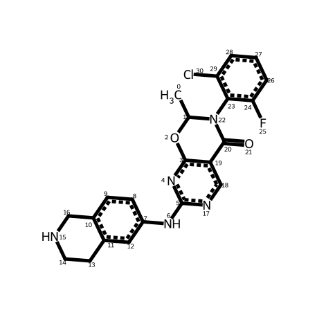 CC1Oc2nc(Nc3ccc4c(c3)CCNC4)ncc2C(=O)N1c1c(F)cccc1Cl